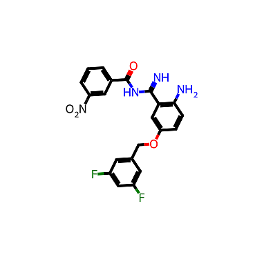 N=C(NC(=O)c1cccc([N+](=O)[O-])c1)c1cc(OCc2cc(F)cc(F)c2)ccc1N